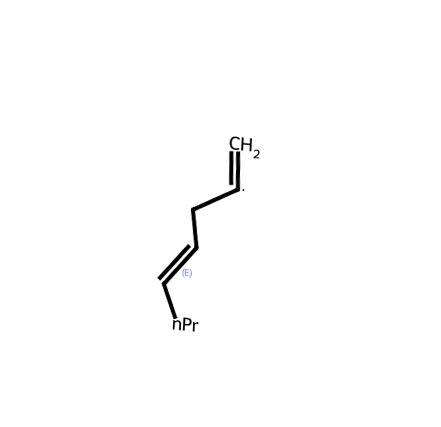 C=[C]C/C=C/CCC